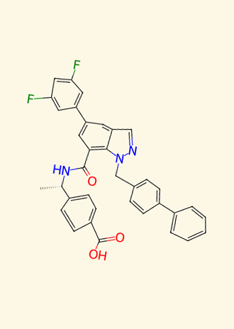 C[C@H](NC(=O)c1cc(-c2cc(F)cc(F)c2)cc2cnn(Cc3ccc(-c4ccccc4)cc3)c12)c1ccc(C(=O)O)cc1